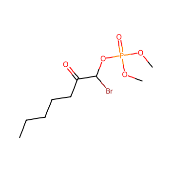 CCCCCC(=O)C(Br)OP(=O)(OC)OC